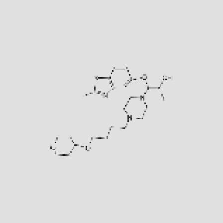 Cc1nc2cc(OC([C@@H](C)O)N3CCN(CCCCOC4CCOCC4)CC3)ccc2s1